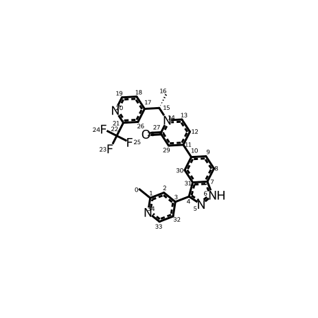 Cc1cc(-c2n[nH]c3ccc(-c4ccn([C@@H](C)c5ccnc(C(F)(F)F)c5)c(=O)c4)cc23)ccn1